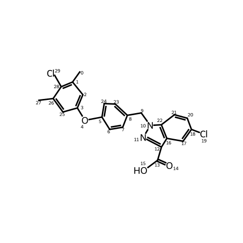 Cc1cc(Oc2ccc(Cn3nc(C(=O)O)c4cc(Cl)ccc43)cc2)cc(C)c1Cl